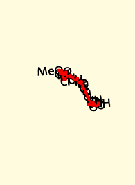 COc1cc2c(cc1OC(C)C)[C@H](c1ccc(Cl)cc1)N(c1ccc(N(C)CC3CCC(N4CCN(C(=O)CCOCCOCCOCCNc5cccc6c5C(=O)N(C5CCC(=O)NC5=O)C6=O)CC4)CC3)cc1)C(=O)C2